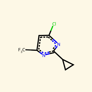 FC(F)(F)c1cc(Cl)nc(C2CC2)n1